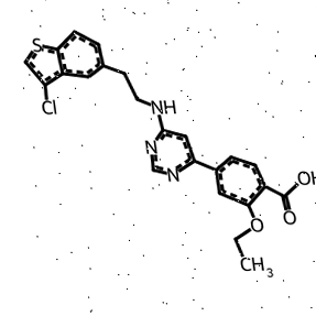 CCOc1cc(-c2cc(NCCc3ccc4scc(Cl)c4c3)ncn2)ccc1C(=O)O